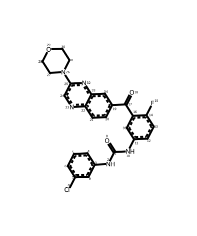 O=C(Nc1cccc(Cl)c1)Nc1ccc(F)c(C(=O)c2ccc3ncc(N4CCOCC4)nc3c2)c1